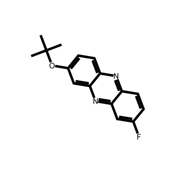 CC(C)(C)Oc1ccc2nc3ccc(F)cc3nc2c1